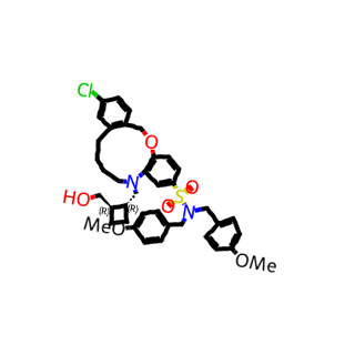 COc1ccc(CN(Cc2ccc(OC)cc2)S(=O)(=O)c2ccc3c(c2)N(C[C@@H]2CC[C@H]2CO)CCCCc2cc(Cl)ccc2CO3)cc1